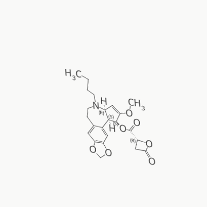 CCCCN1CCc2cc3c(cc2[C@@H]2[C@H](OC(=O)[C@H]4CC(=O)O4)C(OC)=C[C@@H]21)OCO3